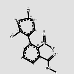 CNC(=O)c1cccc(-c2cnc(Cl)nc2Cl)c1[N+](=O)[O-]